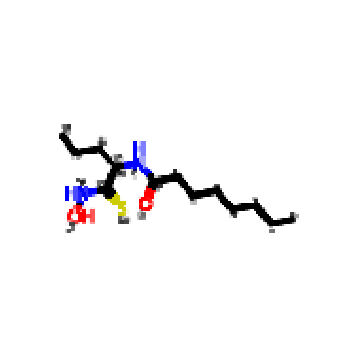 CCCCCCCC(=O)N[C@H](CCC)C(=S)NO